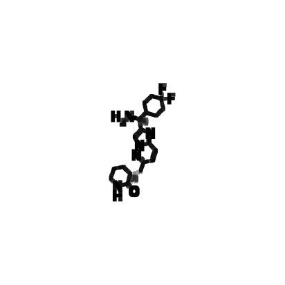 N[C@H](c1cn2nc(C[C@H]3CCCNC3=O)ccc2n1)C1CCC(F)(F)CC1